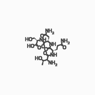 C[C@@H](O)[C@H](N)C(=O)N[C@@H](CCC(N)=O)C(=O)N[C@@H](CC(N)=O)C(=O)N[C@@H](CO)C(=O)O